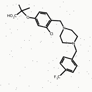 CC(C)(Oc1ccc(CN2CCN(Cc3ccc(C(F)(F)F)cc3)CC2)c(Cl)c1)C(=O)O